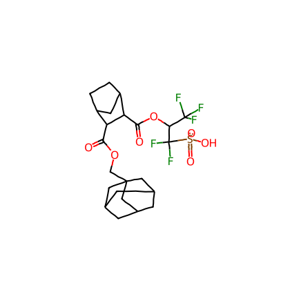 O=C(OCC12CC3CC(CC(C3)C1)C2)C1C2CCC(C2)C1C(=O)OC(C(F)(F)F)C(F)(F)S(=O)(=O)O